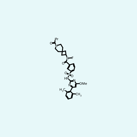 COc1cc(-c2c(C)cccc2C)nc(NS(=O)(=O)c2cccc(C(=O)N(F)C3CC4(CCN(C(=O)C(C)C)CC4)C3)c2)n1